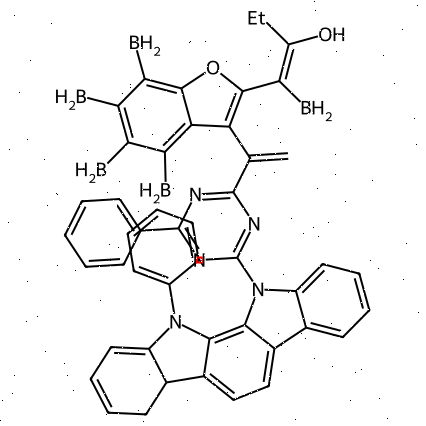 B/C(=C(\O)CC)c1oc2c(B)c(B)c(B)c(B)c2c1C(=C)c1nc(-c2ccccc2)nc(-n2c3ccccc3c3ccc4c(c32)N(c2ccccc2)C2=CC=CCC24)n1